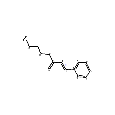 C=C(/C=C/c1ccccc1)CCCCCl